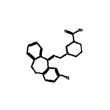 O=C(O)C1CCCN(CC=C2c3ccccc3CSc3ccc(Cl)cc32)C1